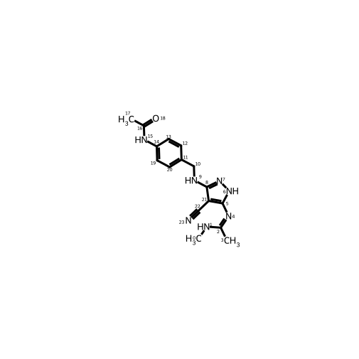 CNC(C)=Nc1[nH]nc(NCc2ccc(NC(C)=O)cc2)c1C#N